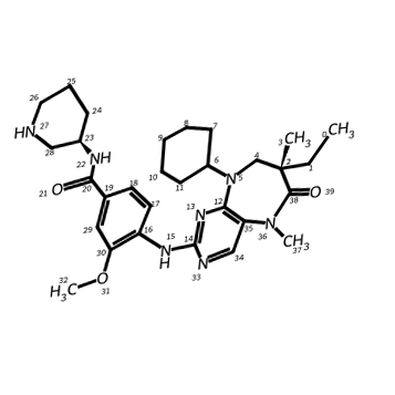 CC[C@@]1(C)CN(C2CCCCC2)c2nc(Nc3ccc(C(=O)N[C@@H]4CCCNC4)cc3OC)ncc2N(C)C1=O